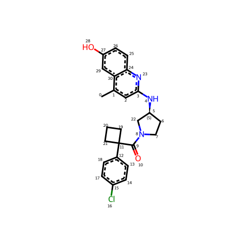 Cc1cc(N[C@H]2CCN(C(=O)C3(c4ccc(Cl)cc4)CCC3)C2)nc2ccc(O)cc12